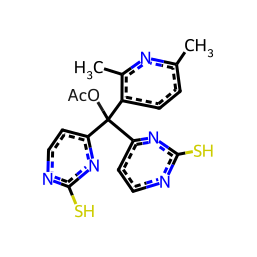 CC(=O)OC(c1ccnc(S)n1)(c1ccnc(S)n1)c1ccc(C)nc1C